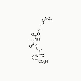 CC(CSC(=O)[C@H](C)NC(=O)OCCCCO[N+](=O)[O-])C(=O)N1CCC[C@H]1C(=O)O